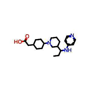 CCC(Nc1ccncc1)C1CCCN(C2CCC(CC(=O)O)CC2)C1